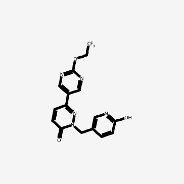 O=c1ccc(-c2cnc(OCC(F)(F)F)nc2)nn1Cc1ccc(O)nc1